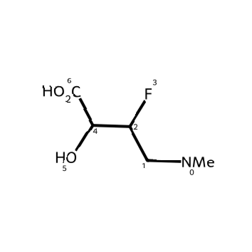 CNCC(F)C(O)C(=O)O